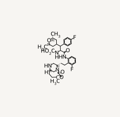 CC1CC[C@@H]2CN([C@@H](CCc3c(F)cccc3NC(=O)C(NC(=O)O)C(c3ccc(F)cc3)C3C[C@@H](C)O[C@@H](C)C3)CN2)S1(=O)=O